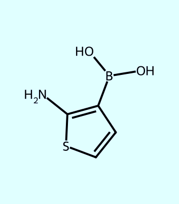 Nc1sccc1B(O)O